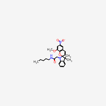 CCCCCNC(=O)CN1c2ccccc2C(C)(C)C12C=Cc1cc([N+](=O)[O-])cc(OC)c1O2